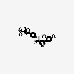 COC(=O)c1cc(-c2ccc(NC(=O)c3cncc(-c4ccc(OC)cc4OC)c3)cc2)oc1C